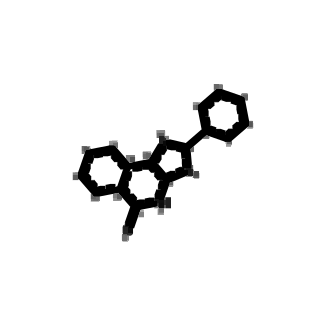 O=c1[nH]c2sc(-c3ccccc3)nc2c2ccccc12